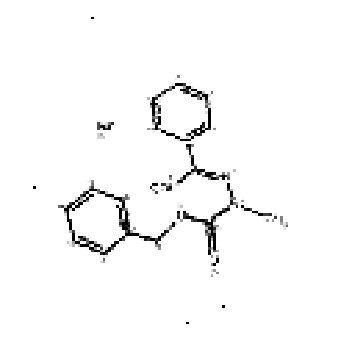 CN(N=C(C(=O)[O-])c1ccccc1)C(=O)OCc1ccccc1.[Na+]